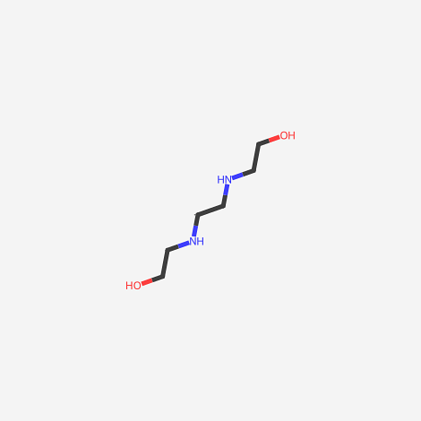 OCCN[CH]CNCCO